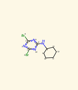 Brc1nc(Br)nc(NC2CCCCC2)n1